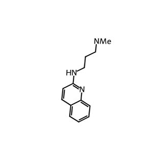 CNCCCNc1ccc2ccccc2n1